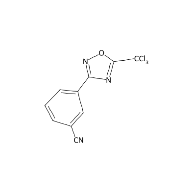 N#Cc1cccc(-c2noc(C(Cl)(Cl)Cl)n2)c1